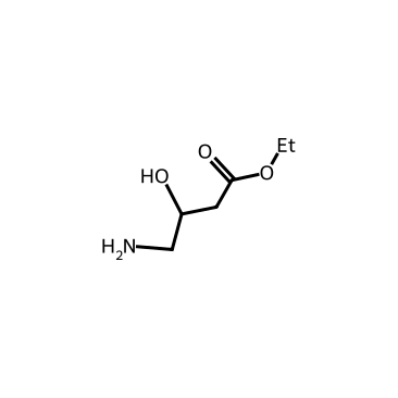 CCOC(=O)CC(O)CN